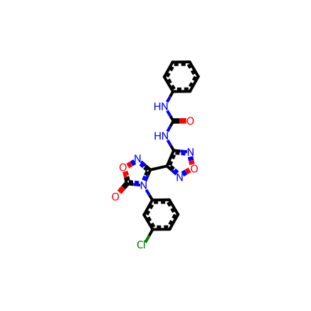 O=C(Nc1ccccc1)Nc1nonc1-c1noc(=O)n1-c1cccc(Cl)c1